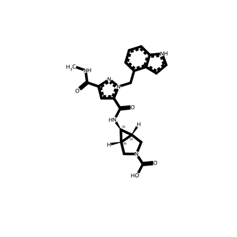 CNC(=O)c1cc(C(=O)N[C@H]2[C@@H]3CN(C(=O)O)C[C@@H]32)n(Cc2cccc3[nH]ccc23)n1